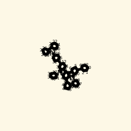 c1ccc(-c2ccc3c4c5c6ccc(-c7ccc(-n8c9ccccc9c9ccccc98)cc7)cc6n(-c6ccccc6)c5cc(-c5ccccc5)c4n(-c4ccccc4)c3c2)cc1